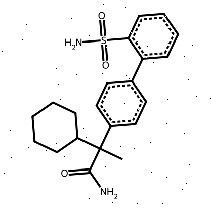 CC(C(N)=O)(c1ccc(-c2ccccc2S(N)(=O)=O)cc1)C1CCCCC1